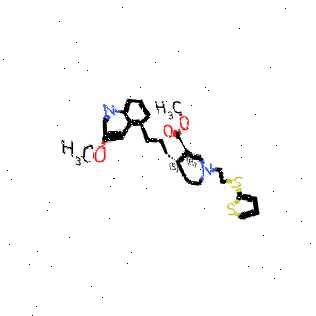 COC(=O)[C@H]1CN(CCSc2cccs2)CC[C@@H]1CCCc1cccc2ncc(OC)cc12